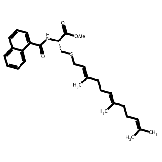 COC(=O)[C@H](CSC/C=C(\C)CC/C=C(\C)CCC=C(C)C)NC(=O)c1cccc2ccccc12